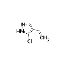 C=Cc1cn[nH]c1Cl